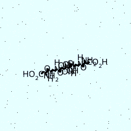 NC(CC(=O)O)C(=O)NCCNC(=O)[C@@H](O)[C@H](O)[C@H](O)[C@@H](O)C(=O)NCCNC(=O)C(N)CC(=O)O